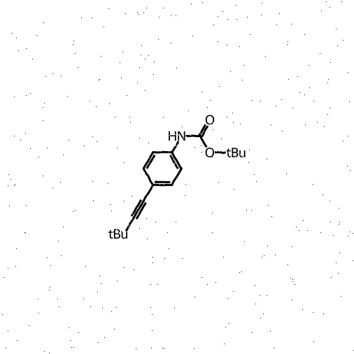 CC(C)(C)C#Cc1ccc(NC(=O)OC(C)(C)C)cc1